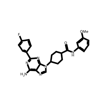 COc1cccc(NC(=O)C2CCC(n3cnc4c(N)nc(-c5ccc(F)cc5)nc43)CC2)c1